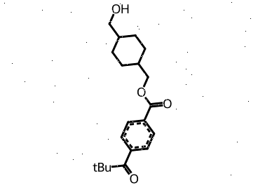 CC(C)(C)C(=O)c1ccc(C(=O)OCC2CCC(CO)CC2)cc1